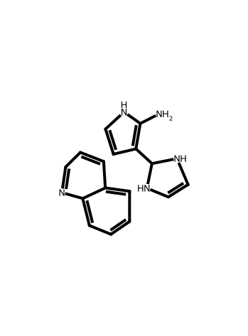 Nc1[nH]ccc1C1NC=CN1.c1ccc2ncccc2c1